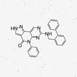 O=c1c2c[nH]nc2c2cnc(NCc3ccccc3-c3ccccc3)nc2n1-c1ccccc1